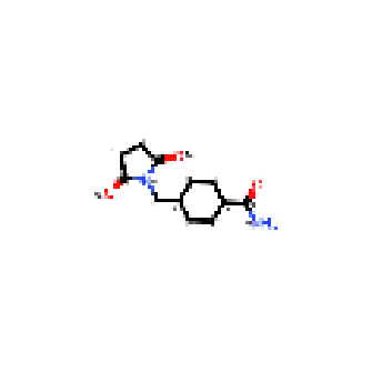 NC(=O)C1CCC(CN2C(=O)CCC2=O)CC1